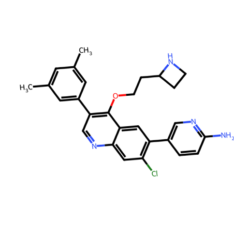 Cc1cc(C)cc(-c2cnc3cc(Cl)c(-c4ccc(N)nc4)cc3c2OCCC2CCN2)c1